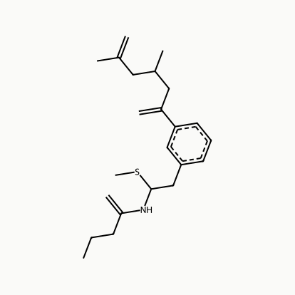 C=C(C)CC(C)CC(=C)c1cccc(CC(NC(=C)CCC)SC)c1